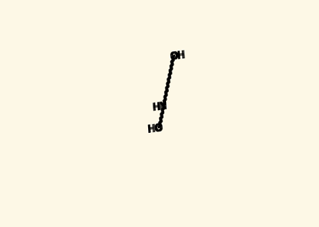 OCCCCCCCCCCCCCCCCCCCCCCNCCCCCCCCCO